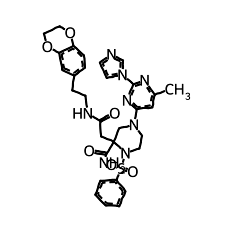 Cc1cc(N2CCN(S(=O)(=O)c3ccccc3)C(CC(=O)NCCc3ccc4c(c3)OCCO4)(C(N)=O)C2)nc(-n2ccnc2)n1